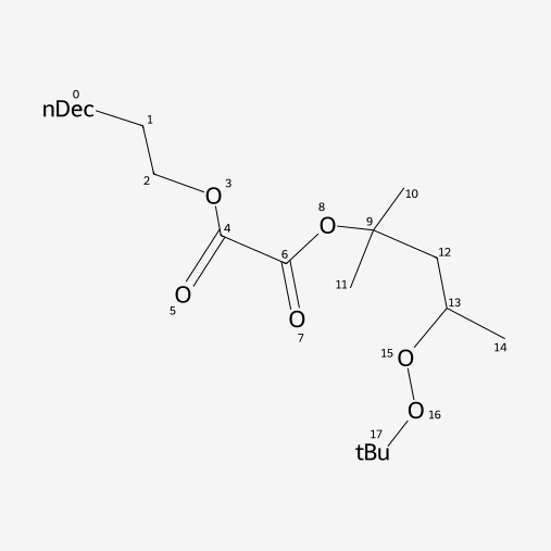 CCCCCCCCCCCCOC(=O)C(=O)OC(C)(C)CC(C)OOC(C)(C)C